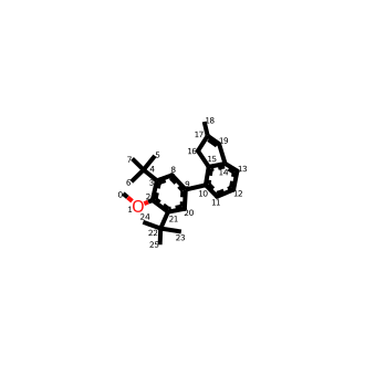 COc1c(C(C)(C)C)cc(-c2cccc3c2CC(C)=C3)cc1C(C)(C)C